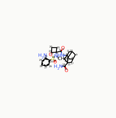 CN(C1(C(=O)NC23CC4CC(C2)CC(C(N)=O)(C4)C3)CCC1)S(=O)(=O)c1ccccc1N